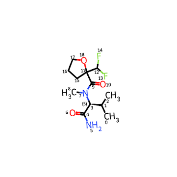 CC(C)[C@@H](C(N)=O)N(C)C(=O)C1(C(F)F)CCCO1